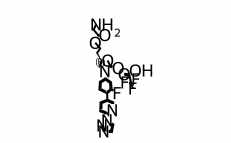 NCC(=O)OCC[C@@H]1CN(c2ccc(-c3ccc(-n4ccnn4)nc3)c(F)c2)C(=O)O1.O=C(O)C(F)(F)F